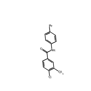 CC(C)c1ccc(NC(=O)c2ccc(Cl)c(C(F)(F)F)c2)cc1